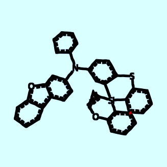 c1ccc(N(c2ccc3c(c2)[Si]2(c4ccccc4Oc4ccccc42)c2ccccc2S3)c2ccc3c(c2)oc2ccccc23)cc1